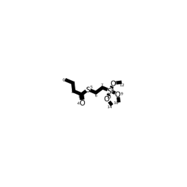 CCCC(=O)SCC[Si](OC)(OC)OC